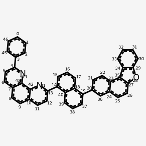 c1ccc(-c2ccc3ccc4ccc(-c5cccc6c(-c7ccc8c(ccc9oc%10ccccc%10c98)c7)cccc56)nc4c3n2)cc1